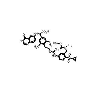 Cc1cc(C(Nc2ccc3nc[nH]c(=O)c3c2)C(=O)O)cc(C)c1CCOC(=O)Nc1ccc(S(=O)(=O)C2CC2)c(CN(C)C(=O)OC(C)(C)C)c1